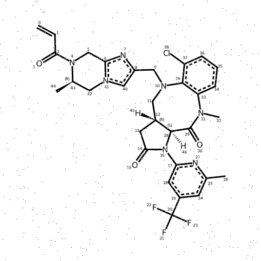 C=CC(=O)N1Cc2nc(CN3C[C@H]4CC(=O)N(c5cc(C(F)(F)F)cc(C)n5)[C@@H]4C(=O)N(C)c4cccc(Cl)c43)cn2C[C@H]1C